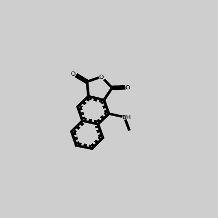 CBc1c2c(cc3ccccc13)C(=O)OC2=O